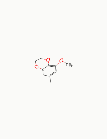 CCCOc1cc(C)cc2c1OCCO2